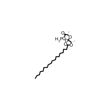 CCCCCCCCCCCCCCCCCC(=O)O[C@@H](C)C(=O)O[C@@H](C)C(=O)OP